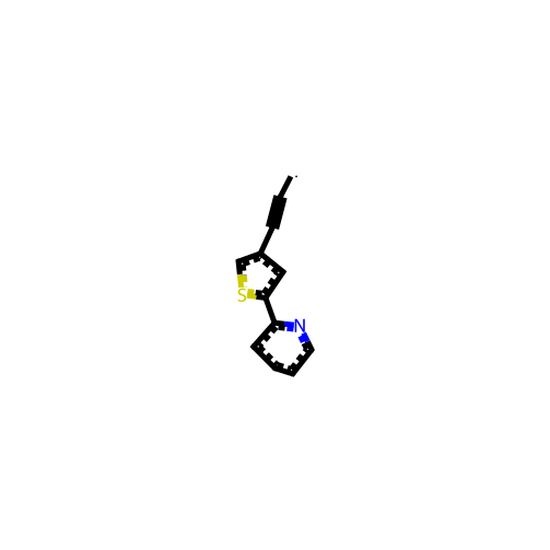 [CH2]C#Cc1csc(-c2ccccn2)c1